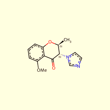 COc1cccc2c1C(=O)[C@@H](n1ccnc1)[C@H](C)O2